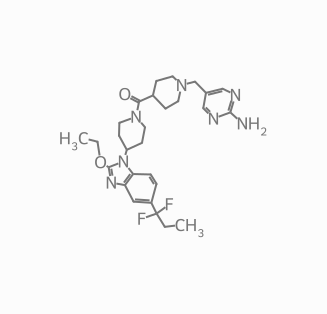 CCOc1nc2cc(C(F)(F)CC)ccc2n1C1CCN(C(=O)C2CCN(Cc3cnc(N)nc3)CC2)CC1